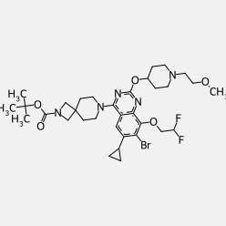 COCCN1CCC(Oc2nc(N3CCC4(CC3)CN(C(=O)OC(C)(C)C)C4)c3cc(C4CC4)c(Br)c(OCC(F)F)c3n2)CC1